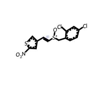 O=[N+]([O-])c1cc(/C=C/[S+]([O-])Cc2ccc(Cl)cc2Cl)cs1